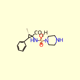 C[C@H]1C(c2ccccc2)[C@]1(NS(=O)(=O)N1CCNCC1)C(=O)O